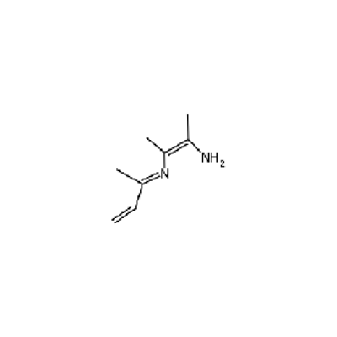 C=C/C(C)=N/C(C)=C(/C)N